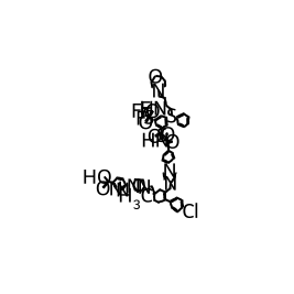 CC1(CN2CCN(c3ccc(C(=O)O)nn3)CC2)CCC(c2ccc(Cl)cc2)=C(CN2CCN(c3ccc(C(=O)NS(=O)(=O)c4ccc(NC(CCN5CCCOCC5)CSc5ccccc5)c(S(=O)(=O)C(F)(F)F)c4)cc3)CC2)C1